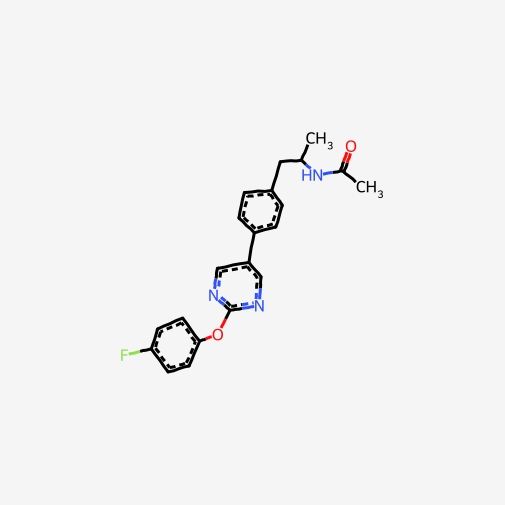 CC(=O)NC(C)Cc1ccc(-c2cnc(Oc3ccc(F)cc3)nc2)cc1